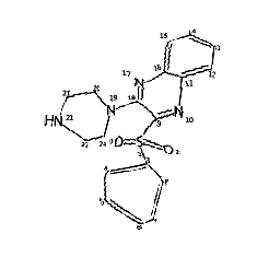 O=S(=O)(c1ccccc1)c1nc2ccccc2nc1N1CCNCC1